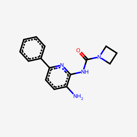 Nc1ccc(-c2ccccc2)nc1NC(=O)N1CCC1